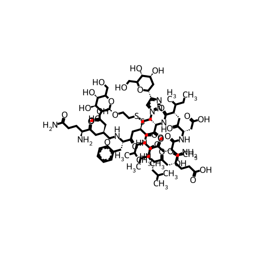 CCC(C)[C@H](CC(=O)[C@H](CC(=O)O)NC(=O)[C@@H](CC(=O)[C@@H](NC(=O)[C@H](CCn1cc([C@H]2C[C@@H](O)[C@@H](O)C(CO)O2)nn1)CC(=O)[C@H](Cc1ccccc1)NC(=O)[C@H](CC(=O)O)CC(=O)[C@@H](N)CCC(N)=O)C(C)CC)C(C)O)C(=O)N[C@@H](CSSCCO[C@H]1OC(CO)[C@@H](O)[C@H](O)C1O)C(=O)C[C@@H](CC(C)C)C(=O)N[C@@H](CC(C)C)C(=O)C[C@@H](CCC(=O)O)C(N)=O